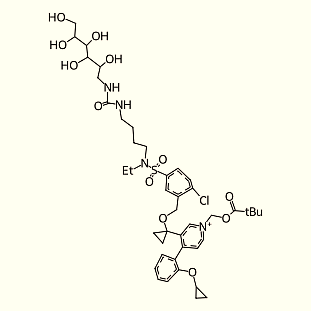 CCN(CCCCNC(=O)NCC(O)C(O)C(O)C(O)CO)S(=O)(=O)c1ccc(Cl)c(COC2(c3c[n+](COC(=O)C(C)(C)C)ccc3-c3ccccc3OC3CC3)CC2)c1